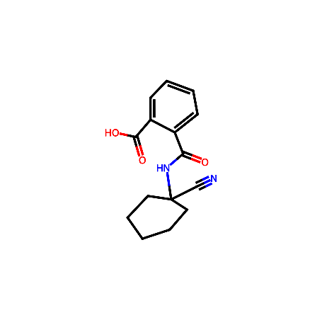 N#CC1(NC(=O)c2ccccc2C(=O)O)CCCCC1